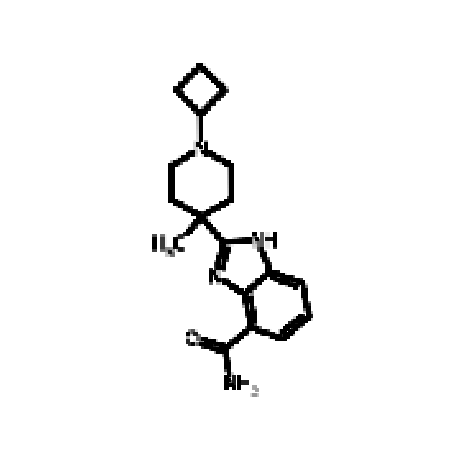 CC1(c2nc3c(C(N)=O)cccc3[nH]2)CCN(C2CCC2)CC1